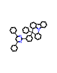 c1ccc(-c2cc(-c3ccccc3)nc(-c3cccc(C4(c5ccccc5)c5ccccc5-n5c6ccccc6c6cccc4c65)c3)n2)cc1